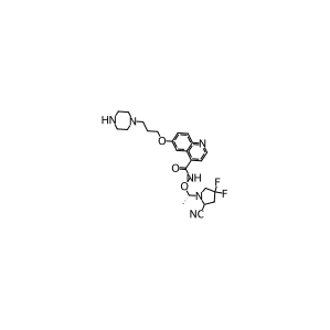 C[C@H](ONC(=O)c1ccnc2ccc(OCCCN3CCNCC3)cc12)N1CC(F)(F)CC1C#N